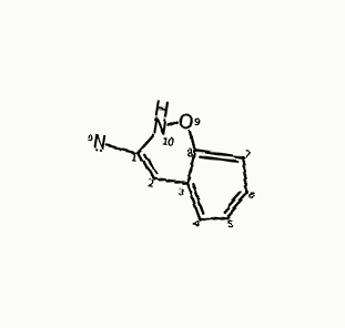 [N]C1=Cc2ccccc2ON1